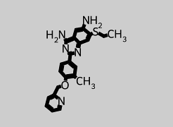 CCSc1cc2nc(-c3ccc(OCc4ccccn4)c(C)c3)nc(N)c2cc1N